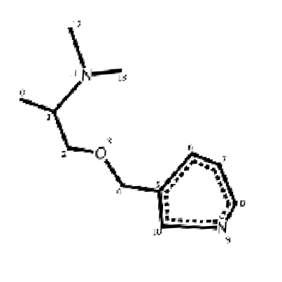 CC(COCc1cccnc1)N(C)C